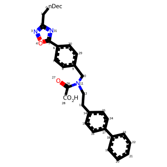 CCCCCCCCCCCc1noc(-c2ccc(CN(CCc3ccc(-c4ccccc4)cc3)C(=O)C(=O)O)cc2)n1